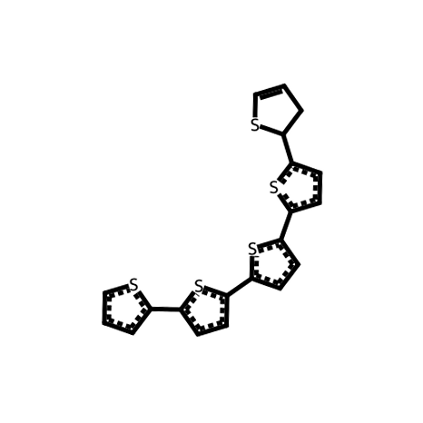 C1=CSC(c2ccc(-c3ccc(-c4ccc(-c5cccs5)s4)s3)s2)C1